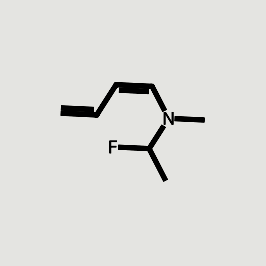 C=C/C=C\N(C)C(C)F